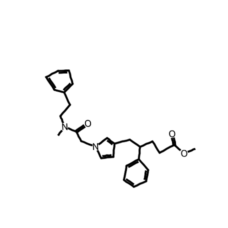 COC(=O)CCC(Cc1ccn(CC(=O)N(C)CCc2ccccc2)c1)c1ccccc1